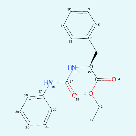 CCOC(=O)[C@H](Cc1ccccc1)NC(=O)Nc1ccccc1